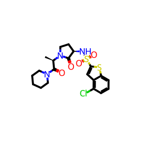 C[C@H](C(=O)N1CCCCC1)N1CC[C@@H](NS(=O)(=O)c2cc3c(Cl)cccc3s2)C1=O